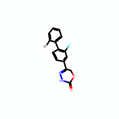 CCc1ccccc1-c1ccc(C2=NNC(=O)OC2)cc1F